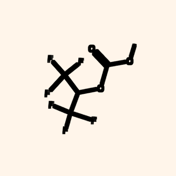 COC(=O)OC(C(F)(F)F)C(F)(F)F